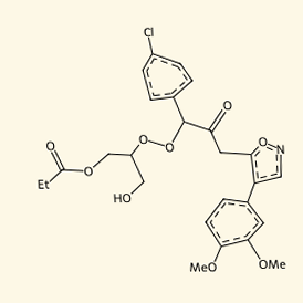 CCC(=O)OCC(CO)OOC(C(=O)Cc1oncc1-c1ccc(OC)c(OC)c1)c1ccc(Cl)cc1